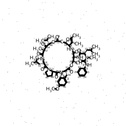 CC[C@H](C)C1NC(=O)[C@@H](NC(=O)[C@@H](CC(C)C)N(C)C(=O)Nc2ccccc2)[C@@H](C)OC(=O)[C@H](Cc2ccc(OC)cc2)N(C)C(=O)C2CCCN2C(=O)[C@H](CC(C)C)NC(=O)[C@@H](C)C(=O)[C@H](C(C)C)OC(=O)C[C@@H]1O